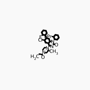 C=CC(=O)N1CCN(c2nc(=O)n(-c3ccccc3CCC)c3cc(-c4ccccc4F)c(Cl)cc23)[C@@H](C)C1